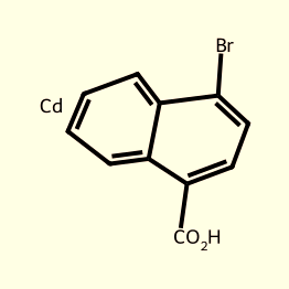 O=C(O)c1ccc(Br)c2ccccc12.[Cd]